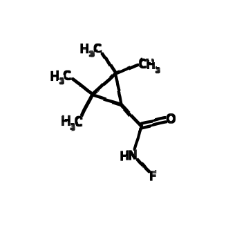 CC1(C)C(C(=O)NF)C1(C)C